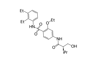 CCOc1cc(NC(=O)[C@@H](CO)C(C)C)ccc1S(=O)(=O)Nc1cccc(CC)c1CC